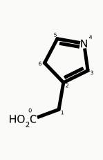 O=C(O)CC1=CN=CC1